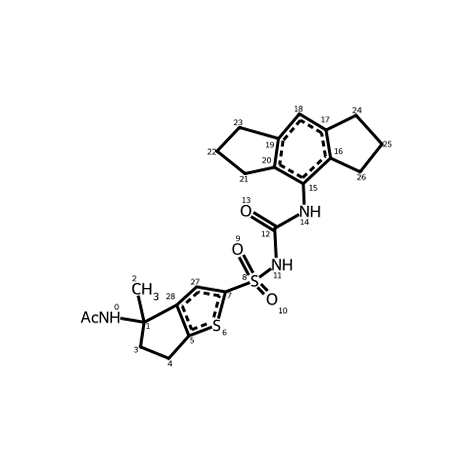 CC(=O)NC1(C)CCc2sc(S(=O)(=O)NC(=O)Nc3c4c(cc5c3CCC5)CCC4)cc21